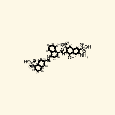 Nc1cc2c(O)c(N=Nc3ccc(N=Nc4ccc5c(S(=O)(=O)O)cccc5c4)c4ccccc34)c(S(=O)(=O)O)cc2cc1S(=O)(=O)O